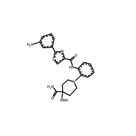 CNC1(C(N)=O)CCN(c2ccccc2NC(=O)c2csc(-c3cccc(N)c3)n2)CC1